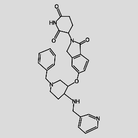 O=C1CCC(N2Cc3cc(OC4CN(Cc5ccccc5)CCC4NCc4cccnc4)ccc3C2=O)C(=O)N1